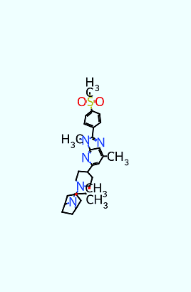 Cc1cc(C2CCN(C3CC4CCC(C3)N4CC(C)C)CC2)nc2c1nc(-c1ccc(S(C)(=O)=O)cc1)n2C